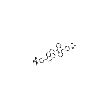 FC(F)(F)c1ccc(-c2c3ccccc3c(-c3ccc4ccc5c(-c6ccc(C(F)(F)F)cc6)ccc6ccc3c4c65)c3ccccc23)cc1